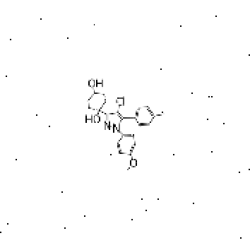 COc1ccc(-n2nc(C3(O)CCC(O)CC3)c(Cl)c2-c2ccc(C)cc2)cc1